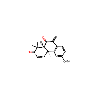 C=C1C(=O)[C@H]2C(C)(C)C(=O)C=C[C@]2(C)c2cc(OC)ccc21